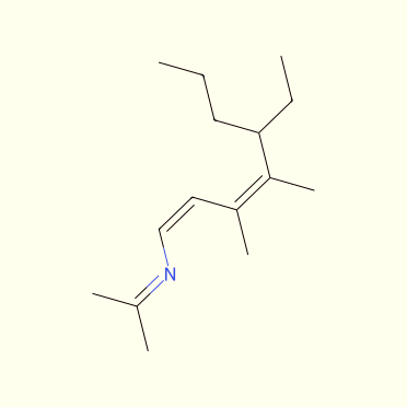 CCCC(CC)/C(C)=C(C)\C=C/N=C(C)C